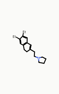 CCc1cc2c(cc1CC)CCC(CCN1CCCC1)=C2